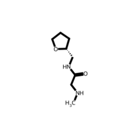 CNCC(=O)NC[C@H]1CCCO1